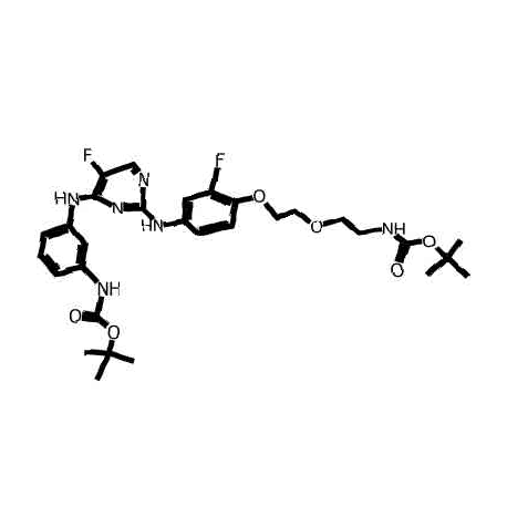 CC(C)(C)OC(=O)NCCOCCOc1ccc(Nc2ncc(F)c(Nc3cccc(NC(=O)OC(C)(C)C)c3)n2)cc1F